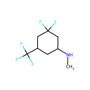 CNC1CC(C(F)(F)F)CC(F)(F)C1